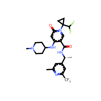 Cc1cc([C@@H](C)NC(=O)c2cn(C3(C(F)F)CC3)c(=O)cc2NC2CCN(C)CC2)cc(C(F)(F)F)n1